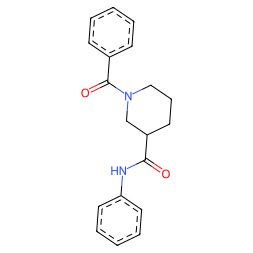 O=C(Nc1ccccc1)C1CCCN(C(=O)c2ccccc2)C1